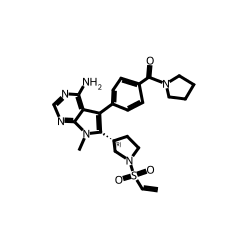 C=CS(=O)(=O)N1CC[C@@H](c2c(-c3ccc(C(=O)N4CCCC4)cc3)c3c(N)ncnc3n2C)C1